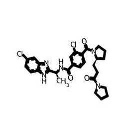 C[C@H](NC(=O)c1ccc(C(=O)N2CCC[C@H]2CCC(=O)N2CCCC2)c(Cl)c1)c1nc2cc(Cl)ccc2[nH]1